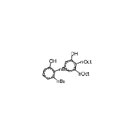 CCCCCCCCc1cccc(O)c1CCCCCCCC.CCCCc1cccc(O)c1CCCC